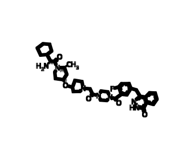 C[C@@H]1C[C@H](OC2CCN(CC(=O)N3CCN(C(=O)c4cc(Cc5n[nH]c(=O)c6ccccc56)ccc4F)CC3)CC2)CCN1C(=O)[C@H](N)C1CCCCC1